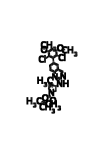 COc1cc(OC)c(Cl)c(-c2ccc3nc(NC4CN(C(=O)OC(C)(C)C)C[C@H]4C)ncc3c2)c1Cl